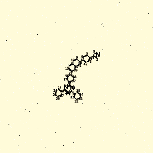 C1=NC=C1c1ccc(-c2ccc3ccc(-c4ccc(-c5nc(-c6ccccc6)nc(-c6ccccc6)n5)cc4)cc3c2)cc1